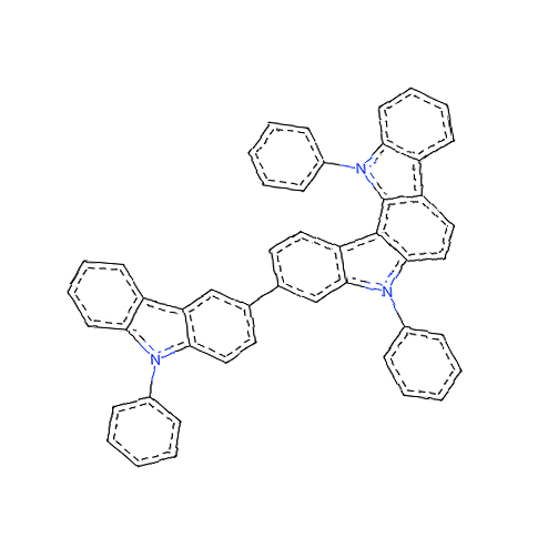 c1ccc(-n2c3ccccc3c3cc(-c4ccc5c6c(ccc7c8ccccc8n(-c8ccccc8)c76)n(-c6ccccc6)c5c4)ccc32)cc1